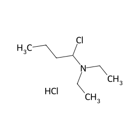 CCCC(Cl)N(CC)CC.Cl